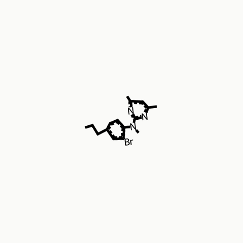 CCCc1ccc(N(C)c2nc(C)cc(C)n2)c(Br)c1